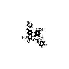 CC1CCN(CCN2N=C(C(N)=O)N(c3ccc(CN4CCOCC4)cc3)C2c2cc(C(C)C)c(O)cc2O)CC1